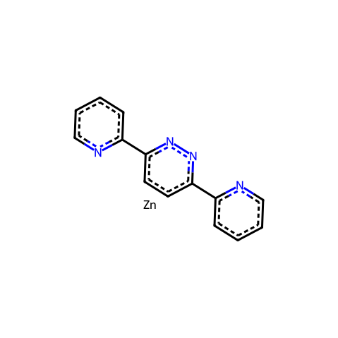 [Zn].c1ccc(-c2ccc(-c3ccccn3)nn2)nc1